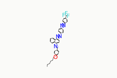 CCCCCCOc1ccc(/C=N/c2ccc(/N=N/c3ccc(/N=N/c4ccc(C(F)(F)F)cc4)cc3)c3ccccc23)cc1